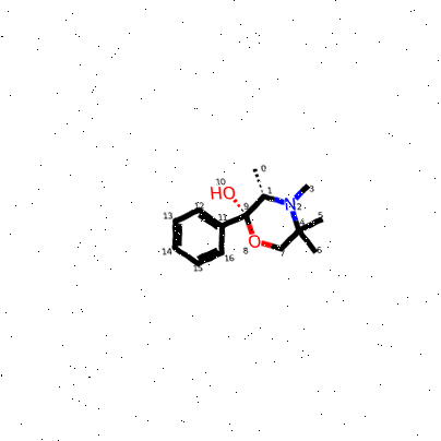 C[C@@H]1N(C)C(C)(C)CO[C@@]1(O)c1ccccc1